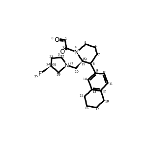 O=CC(=O)N1CCCC(c2ccc3c(c2)CCCC3)[C@H]1CN1CC[C@H](F)C1